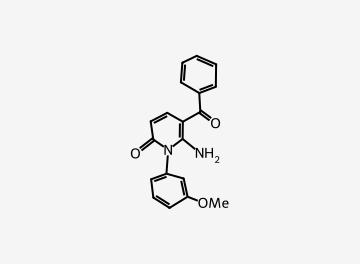 COc1cccc(-n2c(N)c(C(=O)c3ccccc3)ccc2=O)c1